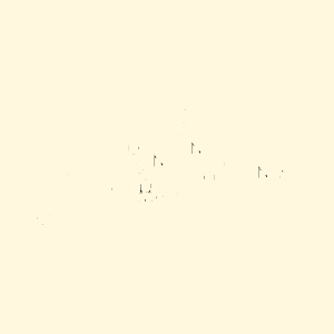 COCC12CN(S(=O)(=O)c3cc4ccc(Cl)cc4s3)CC(=O)N1CC1(CCN(C(C)=O)CC1)O2